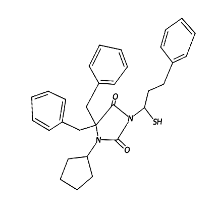 O=C1N(C(S)CCc2ccccc2)C(=O)C(Cc2ccccc2)(Cc2ccccc2)N1C1CCCC1